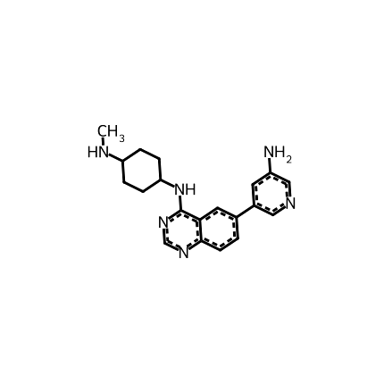 CNC1CCC(Nc2ncnc3ccc(-c4cncc(N)c4)cc23)CC1